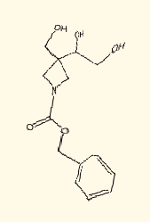 O=C(OCc1ccccc1)N1CC(CO)(C(O)CO)C1